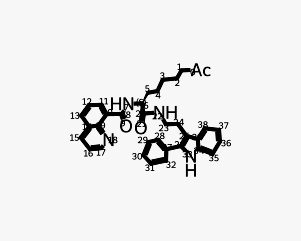 CC(=O)CCCCC[C@H](NC(=O)c1cccc2cccnc12)C(=O)NCCc1c(-c2ccccc2)[nH]c2ccccc12